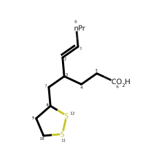 CCCC=CC(CCC(=O)O)CC1CCSS1